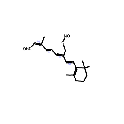 CC1=C(/C=C/C(=C/C=C/C(C)=C\C=O)CON=O)C(C)(C)CCC1